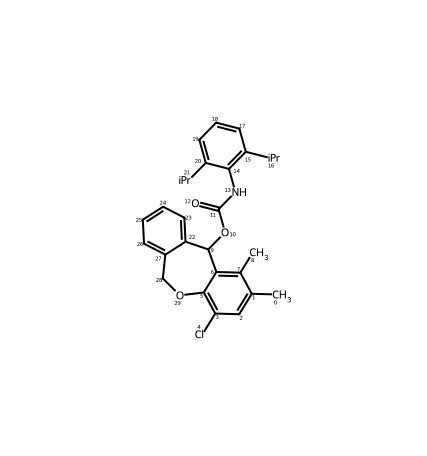 Cc1cc(Cl)c2c(c1C)C(OC(=O)Nc1c(C(C)C)cccc1C(C)C)c1ccccc1CO2